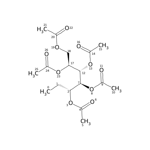 CC[C@@H](OC(C)=O)[C@H](OC(C)=O)[C@@H](OC(C)=O)[C@H](COC(C)=O)OC(C)=O